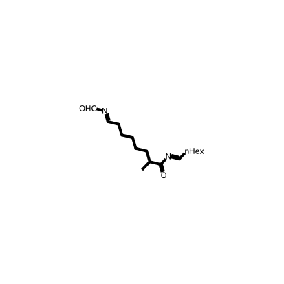 CCCCCCC=NC(=O)C(C)CCCCCC=NC=O